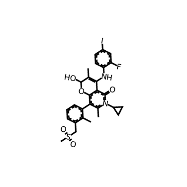 CC1=C(Nc2ccc(I)cc2F)c2c(c(-c3cccc(CS(C)(=O)=O)c3C)c(C)n(C3CC3)c2=O)OC1O